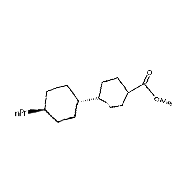 CCC[C@H]1CC[C@H](C2CCC(C(=O)OC)CC2)CC1